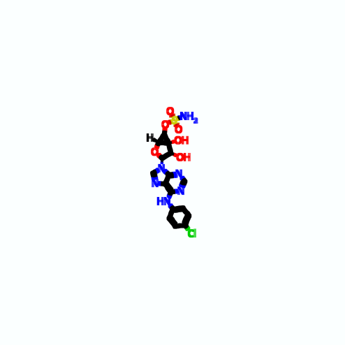 NS(=O)(=O)OC1[C@H]2O[C@@H](n3cnc4c(Nc5ccc(Cl)cc5)ncnc43)[C@H](O)[C@@]12O